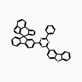 c1ccc(-c2nc(-c3ccc4c(c3)C3(c5ccccc5-4)c4ccccc4-c4cccc5cccc3c45)nc(-c3ccc4sc5ccccc5c4c3)n2)cc1